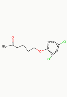 CC(C)(C)C(=O)CCCCOc1ccc(Cl)cc1Cl